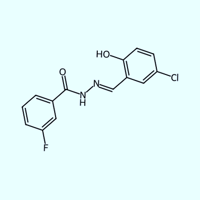 O=C(N/N=C/c1cc(Cl)ccc1O)c1cccc(F)c1